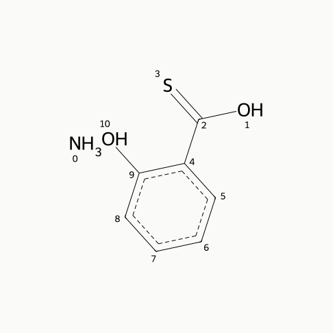 N.OC(=S)c1ccccc1O